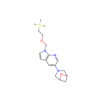 CS(C)(C)CCOCn1ccc2cc(N3CC4CC(C3)O4)cnc21